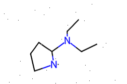 CCN(CC)C1CCC[N]1